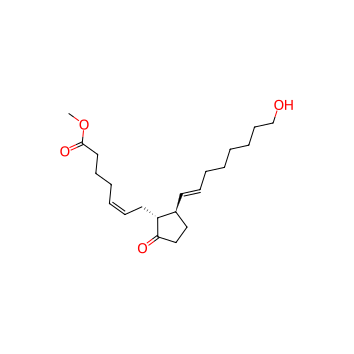 COC(=O)CCC/C=C\C[C@H]1C(=O)CC[C@@H]1C=CCCCCCCO